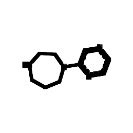 c1cnc(N2CCCNCC2)cn1